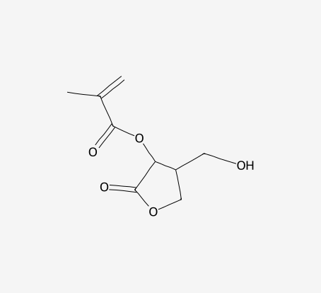 C=C(C)C(=O)OC1C(=O)OCC1CO